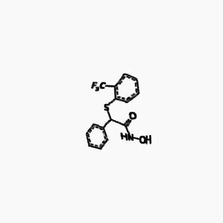 O=C(NO)C(Sc1ccccc1C(F)(F)F)c1ccccc1